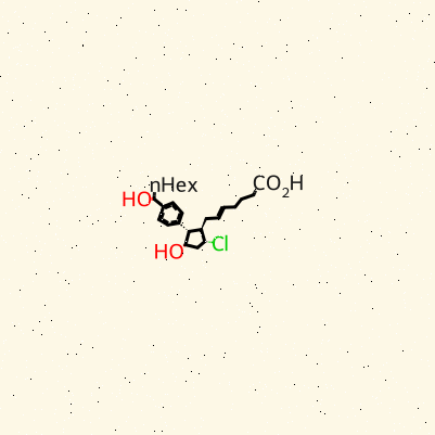 CCCCCCC(O)c1ccc([C@@H]2[C@@H](CC=CCCCC(=O)O)[C@H](Cl)C[C@H]2O)cc1